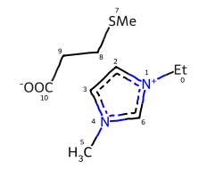 CC[n+]1ccn(C)c1.CSCCC(=O)[O-]